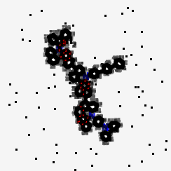 C=C/C=C\c1ccccc1-c1cccc2cccc(N(c3ccc4cc(-c5ccc(N(c6ccc(-c7ccc(-c8ccccc8)cc7)cc6)c6ccc7cc(-c8ccc(-c9ccc%10ccccc%10c9)c9c(N(c%10ccc(-n%11c%12ccccc%12c%12ccccc%12%11)cc%10)c%10cccc%11ccccc%10%11)cccc89)ccc7c6)c6c(-c7cccc8ccccc78)cccc56)ccc4c3)c3cc4ccccc4c4ccccc34)c12